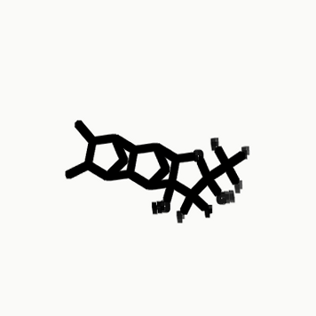 CC1C(C)C2CC1C1C3CC(C21)C1(O)C3OC(O)(C(F)(F)F)C1(F)F